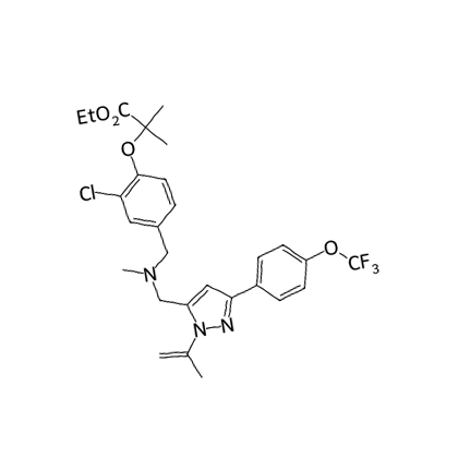 C=C(C)n1nc(-c2ccc(OC(F)(F)F)cc2)cc1CN(C)Cc1ccc(OC(C)(C)C(=O)OCC)c(Cl)c1